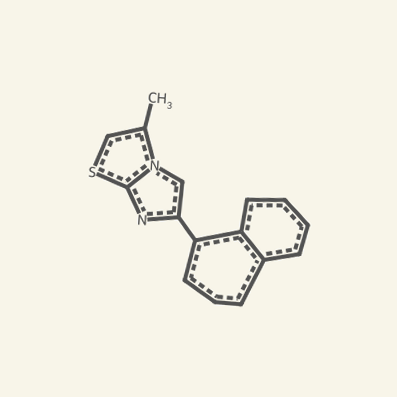 Cc1csc2nc(-c3cccc4ccccc34)cn12